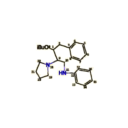 CC(C)COC(Cc1ccccc1)C(CNc1ccccc1)N1CCCC1